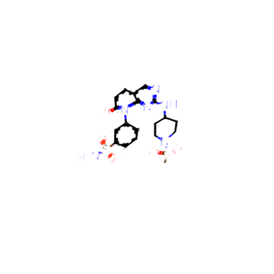 CS(=O)(=O)N1CCC(Nc2ncc3ccc(=O)n(-c4cccc(S(N)(=O)=O)c4)c3n2)CC1